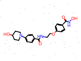 O=C(NO)c1ccc(OCCNC(=O)c2ccc(N3CCC(O)CC3)cc2)cc1